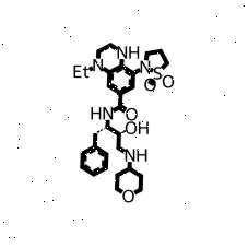 CCN1CCNc2c1cc(C(=O)N[C@@H](Cc1ccccc1)[C@H](O)CNC1CCOCC1)cc2N1CCCS1(=O)=O